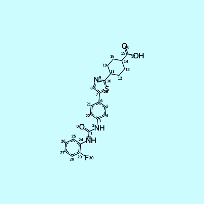 O=C(Nc1ccc(-c2cnc(C3CCC(C(=O)O)CC3)s2)cc1)Nc1ccccc1F